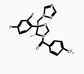 C[C@H]1N(C(=O)c2ccc(C(F)(F)F)cc2)CO[C@@]1(Cn1cncn1)c1ccc(F)cc1F